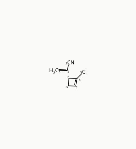 C=CC#N.ClC1=CCC1